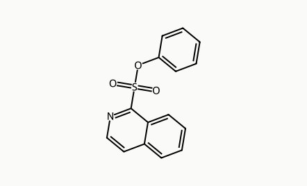 O=S(=O)(Oc1ccccc1)c1nccc2ccccc12